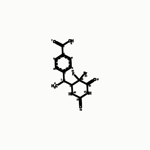 CN(c1ccc(C(=O)O)cc1)C1NC(=O)NC(=O)C1(F)Br